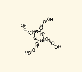 OCCOCCN1C=CC(c2c3nc(c(C4=CCN(CCOCCO)C=C4)c4ccc([nH]4)c(C4=CCN(CCOCCO)C=C4)c4nc(c(C5=CCN(CCOCCO)C=C5)c5ccc2[nH]5)C=C4)C=C3)=CC1